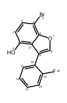 Oc1ccc(Br)c2occ(-c3ccccc3F)c12